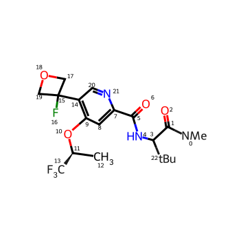 CNC(=O)C(NC(=O)c1cc(O[C@@H](C)C(F)(F)F)c(C2(F)COC2)cn1)C(C)(C)C